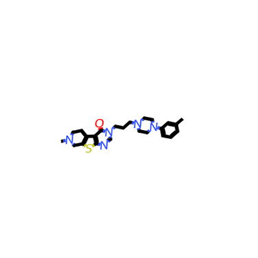 Cc1cccc(N2CCN(CCCn3cnc4sc5c(c4c3=O)CCN(C)C5)CC2)c1